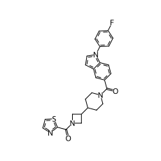 O=C(c1ccc2c(ccn2-c2ccc(F)cc2)c1)N1CCC(C2CN(C(=O)c3nccs3)C2)CC1